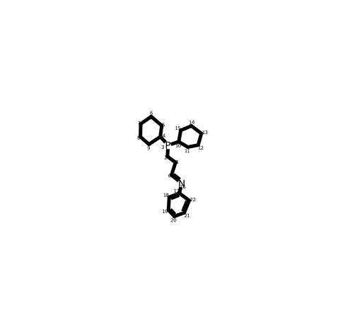 C(CCP(C1CCCCC1)C1CCCCC1)=Nc1ccccc1